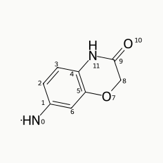 [NH]c1ccc2c(c1)OCC(=O)N2